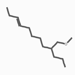 CC/C=C/CCCCC(CCC)COC